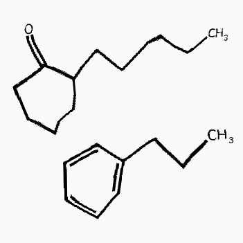 CCCCCC1CCCCC1=O.CCCc1ccccc1